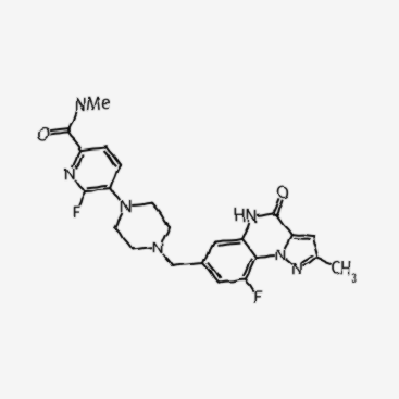 CNC(=O)c1ccc(N2CCN(Cc3cc(F)c4c(c3)[nH]c(=O)c3cc(C)nn34)CC2)c(F)n1